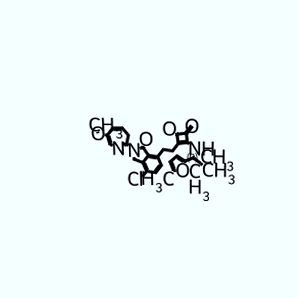 COC1=CN=C(N2Cc3c(Cl)ccc(CCc4c(N[C@@H](c5ccc(C)o5)C(C)(C)C)c(=O)c4=O)c3C2=O)CC=C1